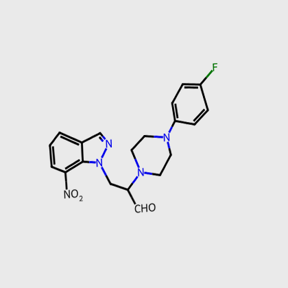 O=CC(Cn1ncc2cccc([N+](=O)[O-])c21)N1CCN(c2ccc(F)cc2)CC1